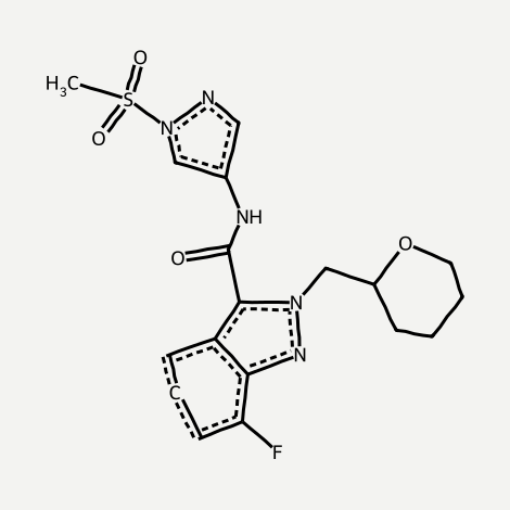 CS(=O)(=O)n1cc(NC(=O)c2c3cccc(F)c3nn2CC2CCCCO2)cn1